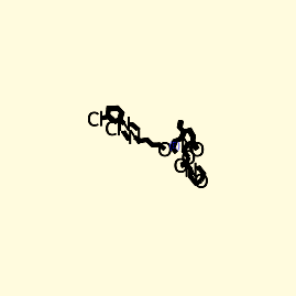 C=Cc1ccc(=O)n(COC(=O)N2CCOCC2)c1/C=C(\C)OCCCCN1CCN(c2cccc(Cl)c2Cl)CC1